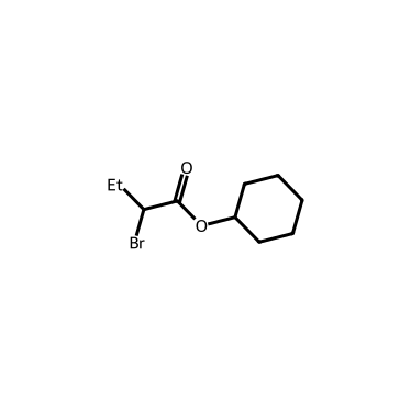 CCC(Br)C(=O)OC1CCCCC1